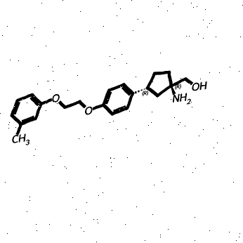 Cc1cccc(OCCOc2ccc([C@@H]3CC[C@](N)(CO)C3)cc2)c1